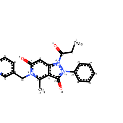 COCC(=O)n1c2cc(=O)n(Cc3cccnc3)c(C)c2c(=O)n1-c1ccccc1